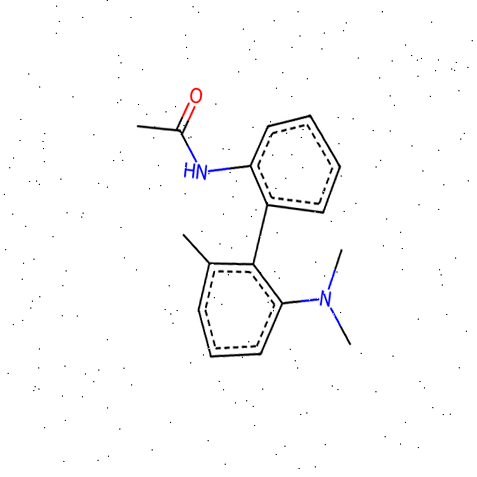 CC(=O)Nc1ccccc1-c1c(C)cccc1N(C)C